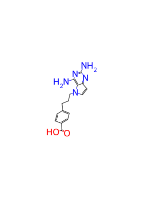 Nc1nc(N)c2c(ccn2CCCc2ccc(C(=O)O)cc2)n1